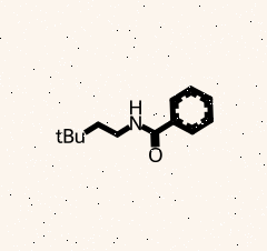 CC(C)(C)CCNC(=O)c1ccccc1